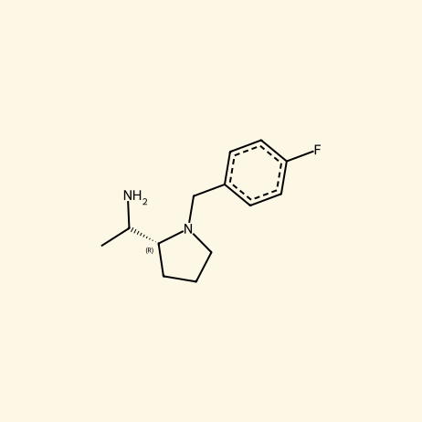 CC(N)[C@H]1CCCN1Cc1ccc(F)cc1